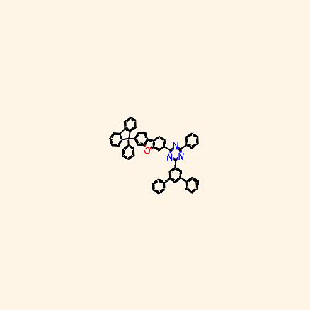 c1ccc(-c2cc(-c3ccccc3)cc(-c3nc(-c4ccccc4)nc(-c4ccc5c(c4)oc4cc(C6(c7ccccc7)c7ccccc7-c7ccccc76)ccc45)n3)c2)cc1